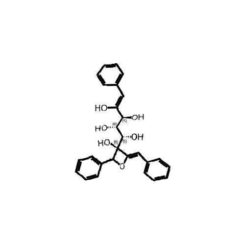 OC(=Cc1ccccc1)[C@@H](O)[C@@H](O)[C@H](O)[C@]1(O)C(=Cc2ccccc2)OC1c1ccccc1